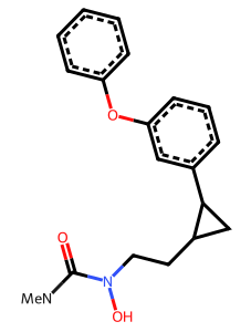 CNC(=O)N(O)CCC1CC1c1cccc(Oc2ccccc2)c1